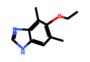 CCOc1c(C)cc2[nH]cnc2c1C